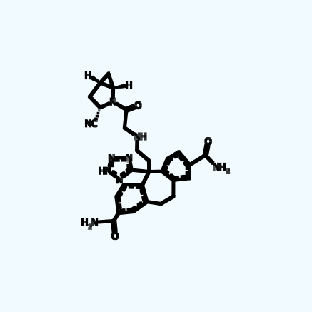 N#C[C@@H]1C[C@@H]2C[C@@H]2N1C(=O)CNCCC1(c2nn[nH]n2)c2ccc(C(N)=O)cc2CCc2cc(C(N)=O)ccc21